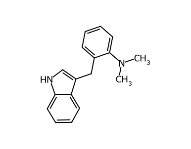 CN(C)c1ccccc1Cc1c[nH]c2ccccc12